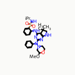 COC1CN(N(c2ccccc2)c2nc3c(c(Nc4ccccc4S(=O)(=O)NC(C)C)n2)C(C)(C)CN3)CCO1